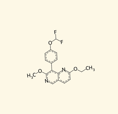 CCOc1ccc2cnc(OC)c(-c3ccc(OC(F)F)cc3)c2n1